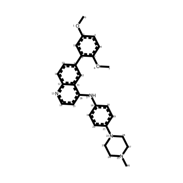 COc1ccc(OC)c(-c2ccc3nccc(Nc4ccc(N5CCN(C)CC5)cc4)c3c2)c1